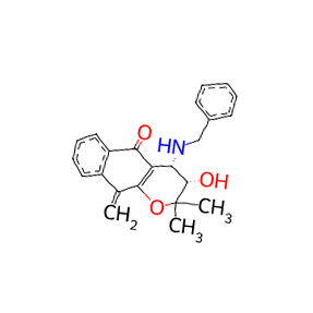 C=C1C2=C(C(=O)c3ccccc31)[C@H](NCc1ccccc1)[C@H](O)C(C)(C)O2